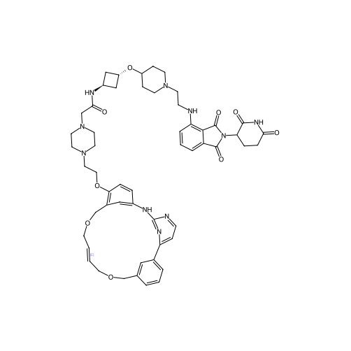 O=C1CCC(N2C(=O)c3cccc(NCCN4CCC(O[C@H]5C[C@H](NC(=O)CN6CCN(CCOc7ccc8cc7COC/C=C/COCc7cccc(c7)-c7ccnc(n7)N8)CC6)C5)CC4)c3C2=O)C(=O)N1